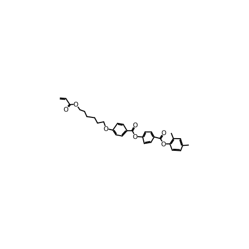 C=CC(=O)OCCCCCCOc1ccc(C(=O)Oc2ccc(C(=O)Oc3ccc(C)cc3C)cc2)cc1